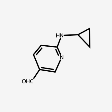 O=Cc1ccc(NC2CC2)nc1